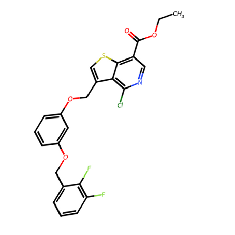 CCOC(=O)c1cnc(Cl)c2c(COc3cccc(OCc4cccc(F)c4F)c3)csc12